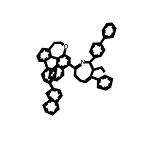 CCC1/C(c2ccccc2)=C\CC/C(c2cc3c(c4ccccc24)-c2c(cccc2-c2ccc(-c4ccc5ccccc5c4)cc2)CCO3)=N\C1c1ccc(-c2ccccc2)cc1